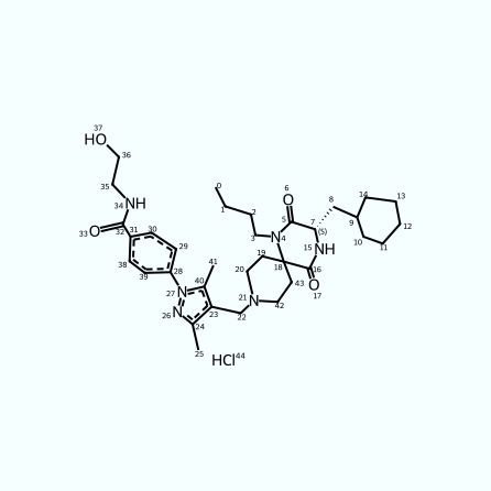 CCCCN1C(=O)[C@H](CC2CCCCC2)NC(=O)C12CCN(Cc1c(C)nn(-c3ccc(C(=O)NCCO)cc3)c1C)CC2.Cl